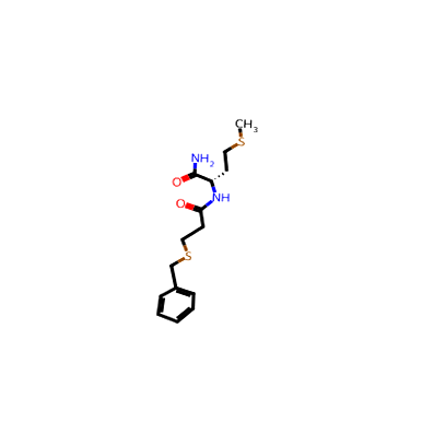 CSCC[C@H](NC(=O)CCSCc1ccccc1)C(N)=O